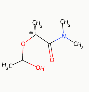 CC(O)O[C@H](C)C(=O)N(C)C